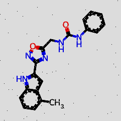 Cc1cccc2[nH]c(-c3noc(CNC(=O)Nc4ccccc4)n3)cc12